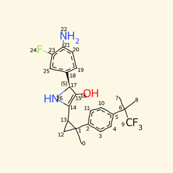 CC1(c2ccc(C(C)(C)C(F)(F)F)cc2)CC1C1=C(O)[C@H](c2ccc(N)c(F)c2)N1